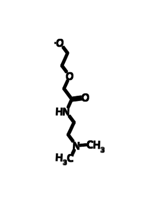 CN(C)CCNC(=O)COCC[O]